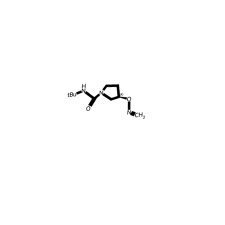 C=NO[C@@H]1CCN(C(=O)NC(C)(C)C)C1